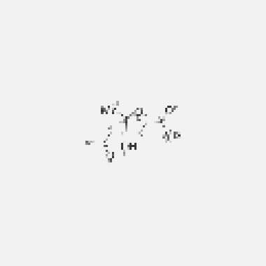 CC(=O)C[C@](O)(CC[C](=O)[Mo])[C](=O)[Mo]